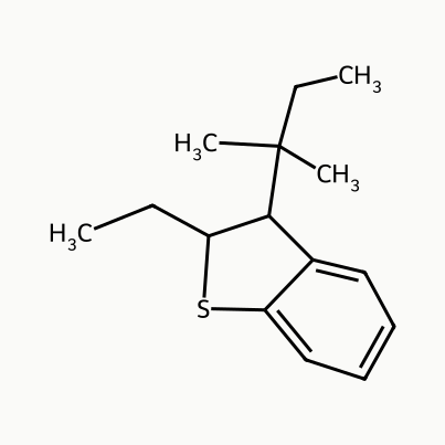 CCC1Sc2ccccc2C1C(C)(C)CC